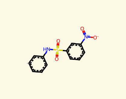 O=[N+]([O-])c1cccc(S(=O)(=O)Nc2c[c]ccc2)c1